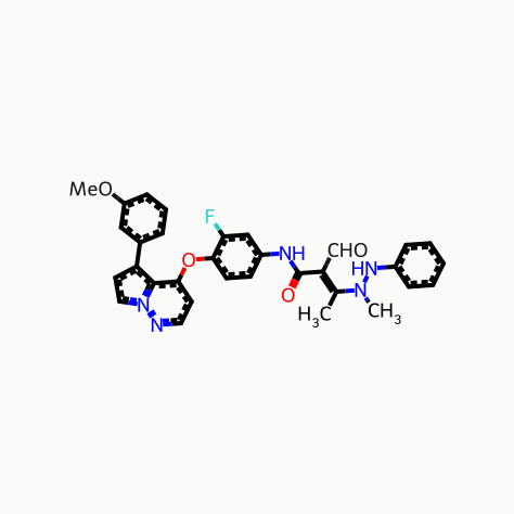 COc1cccc(-c2ccn3nccc(Oc4ccc(NC(=O)/C(C=O)=C(\C)N(C)Nc5ccccc5)cc4F)c23)c1